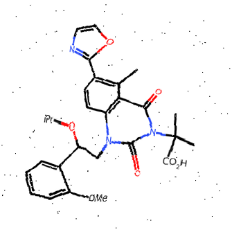 COc1ccccc1C(Cn1c(=O)n(C(C)(C)C(=O)O)c(=O)c2c(C)c(-c3ncco3)ccc21)OC(C)C